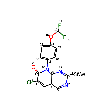 CSc1ncc2cc(Cl)c(=O)n(-c3ccc(OC(F)F)cc3)c2n1